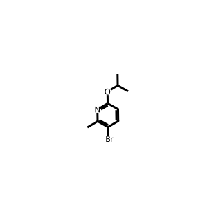 Cc1nc(OC(C)C)ccc1Br